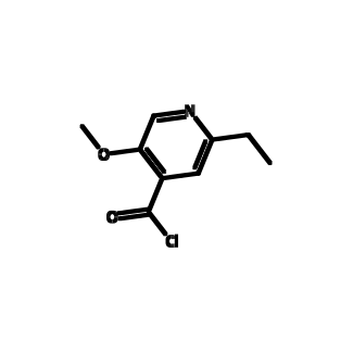 CCc1cc(C(=O)Cl)c(OC)cn1